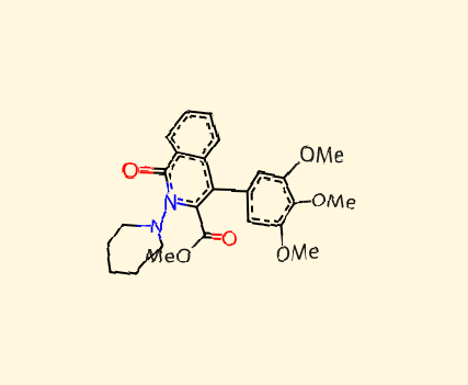 COC(=O)c1c(-c2cc(OC)c(OC)c(OC)c2)c2ccccc2c(=O)n1N1CCCCC1